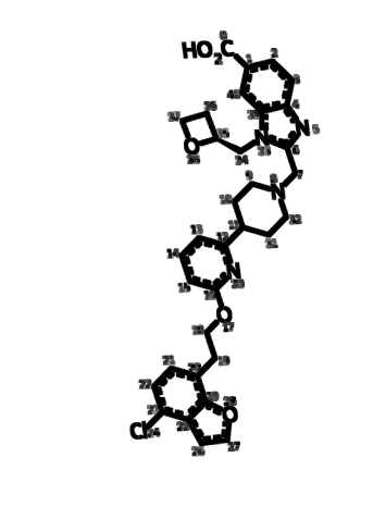 O=C(O)c1ccc2nc(CN3CCC(c4cccc(OCCc5ccc(Cl)c6ccoc56)n4)CC3)n(C[C@@H]3CCO3)c2c1